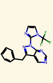 FC(F)(F)n1ccnc1-n1nc(Cc2ccccc2)c2cncnc21